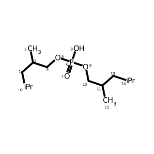 CC(C)CC(C)COP(=O)(O)OCC(C)CC(C)C